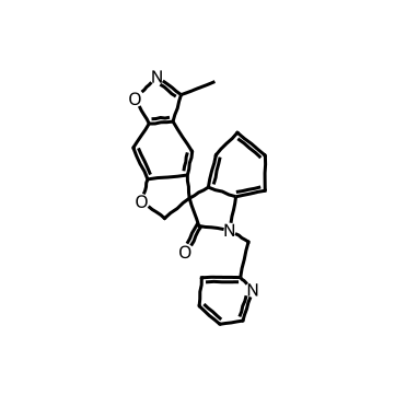 Cc1noc2cc3c(cc12)C1(CO3)C(=O)N(Cc2ccccn2)c2ccccc21